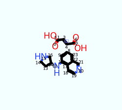 O=C(O)/C=C/C(=O)O.c1cc(N[C@@H]2CCNC2)c2ccncc2c1